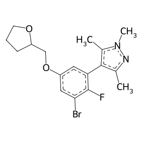 Cc1nn(C)c(C)c1-c1cc(OCC2CCCO2)cc(Br)c1F